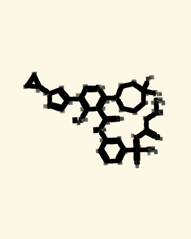 CNCC(=O)N=S(C)(=O)c1cccc(NC(=O)c2c(N3CCCC(F)(F)CC3)ncc(-c3cnn(C4CC4)c3)c2C)c1